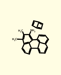 Cc1c(C)c2cccc3c4cccc5cccc(c(c1N)c23)c54.c1cc2ccc1-2